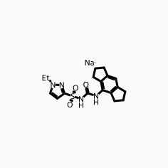 CCn1ccc(S(=O)(=O)NC(=O)Nc2c3c(cc4c2CCC4)CCC3)n1.[Na]